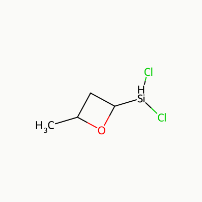 CC1CC([SiH](Cl)Cl)O1